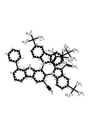 C=Cc1c(/C=C(/C)C(C)(C)C)n(-c2c(C#N)cc3c(oc4c(-c5ccccc5)cccc43)c2-n2c3ccc(C(C)(C)C)cc3c3cc(C(C)(C)C)ccc32)c2ccc(C(C)(C)C)cc12